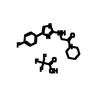 O=C(CNc1nc(-c2ccc(F)cc2)cs1)N1CCCCC1.O=C(O)C(F)(F)F